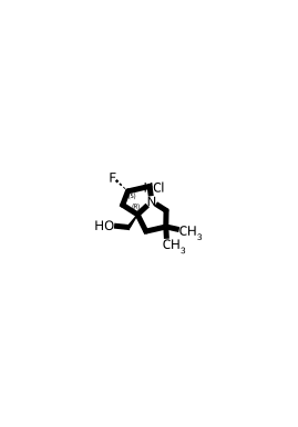 CC1(C)CN2C[C@@H](F)C[C@@]2(CO)C1.Cl